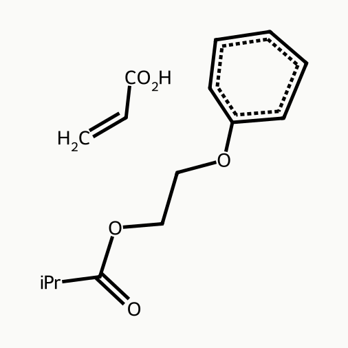 C=CC(=O)O.CC(C)C(=O)OCCOc1ccccc1